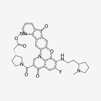 CN1CCCC1CCNc1c(F)cc2c(=O)c(C(=O)N3CC[C@H](CC(=O)OC(C)(C)C)C3)cn3c4cc5c(cc4oc1c23)c(=O)c1ccccc15